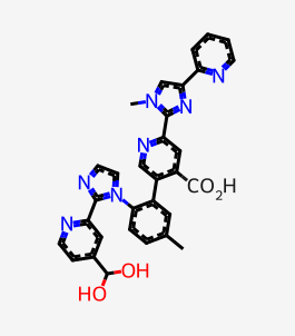 Cc1ccc(-n2ccnc2-c2cc(C(O)O)ccn2)c(-c2cnc(-c3nc(-c4ccccn4)cn3C)cc2C(=O)O)c1